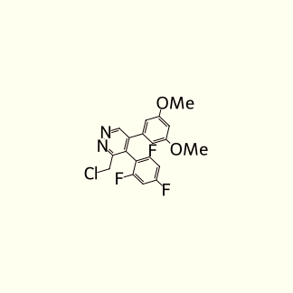 COc1cc(OC)cc(-c2cnnc(CCl)c2-c2c(F)cc(F)cc2F)c1